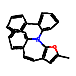 Cc1cc2c(o1)N(c1ccccc1-c1ccccc1)c1ccccc1C=C2